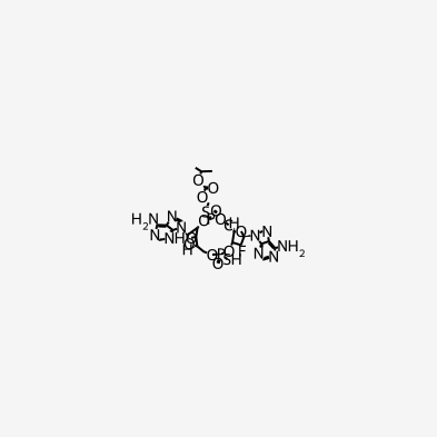 CC(C)OC(=O)OCSP1(=O)OC[C@H]2O[C@@H](n3cnc4c(N)ncnc43)C(F)C2OP(=O)(S)OC[C@H]2O[C@@H](n3cnc4c(N)ncnc43)C(O1)C2O